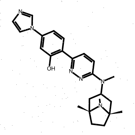 CN(c1ccc(-c2ccc(-n3ccnc3)cc2O)nn1)C1C[C@]2(C)CC[C@](C)(C1)N2C